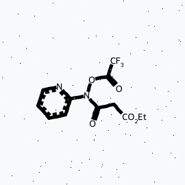 CCOC(=O)CC(=O)N(OC(=O)C(F)(F)F)c1ccccn1